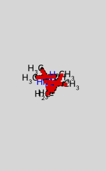 [CH2]Cc1ccc(-c2nc(Nc3cc(CCCCCC)c(CCCCCC)c(CCCCCC)c3)nc(Nc3cc(CCCCCC)c(CCCCCC)c(CCCCCC)c3)n2)cc1